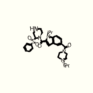 CC(C)N1CCN(C(=O)c2ccc3c(c2)cc(C(=O)N2CCNCC2S(=O)(=O)c2ccccc2)n3C(C)C)CC1